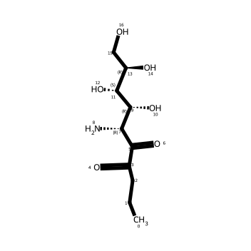 CCCC(=O)C(=O)[C@H](N)[C@@H](O)[C@H](O)[C@H](O)CO